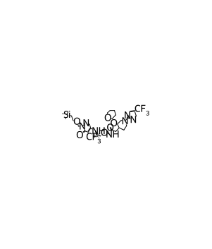 C[C@@H](CONC(=O)CC1CCN(c2ncc(C(F)(F)F)cn2)CC1OC1CCCCO1)Nc1cnn(COCC[Si](C)(C)C)c(=O)c1C(F)(F)F